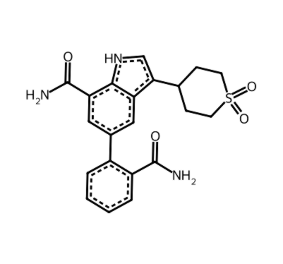 NC(=O)c1ccccc1-c1cc(C(N)=O)c2[nH]cc(C3CCS(=O)(=O)CC3)c2c1